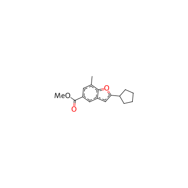 COC(=O)c1cc(C)c2oc(C3CCCC3)cc2c1